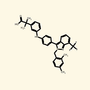 Cc1ccc(Cn2nc3c(C(F)(F)F)cccc3c2-c2ccc(Nc3cccc(C(C)(C)C(=O)O)c3)cc2)c(C)c1